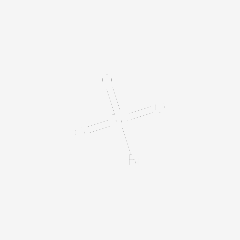 [O]=[Re](=[O])(=[O])[Br]